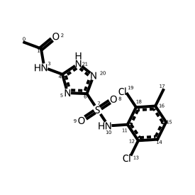 CC(=O)Nc1nc(S(=O)(=O)Nc2c(Cl)ccc(C)c2Cl)n[nH]1